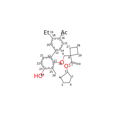 C=C(OC1CCCC1)C1(COc2c(-c3ccc(C(C)=O)c(CC)c3)ccc(O)c2C)CCC1